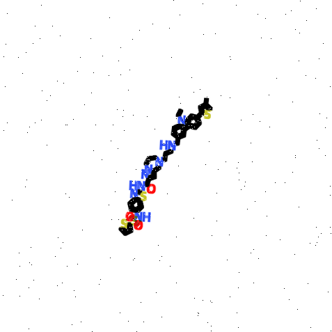 CCn1c2ccc(CNCCCN3CCCn4nc(C(=O)Nc5nc6ccc(NS(=O)(=O)c7cccs7)cc6s5)cc4C3)cc2c2ccc(-c3cc(C)cs3)cc21